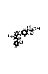 O=C(O)N[C@H]1CC[C@H](Nc2ncnc3[nH]cc(C(=O)c4ccccc4Cl)c23)CC1